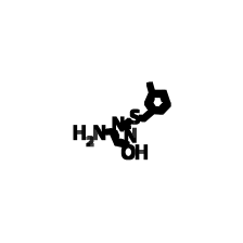 Cc1cccc(CSc2nc(N)cc(O)n2)c1